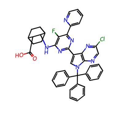 O=C(O)C1C2CCC(CC2)C1Nc1nc(-c2cn(C(c3ccccc3)(c3ccccc3)c3ccccc3)c3ncc(Cl)nc23)nc(-c2ccccn2)c1F